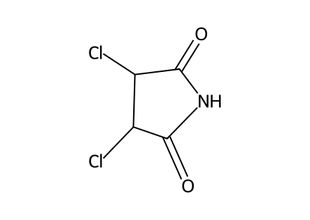 O=C1NC(=O)C(Cl)C1Cl